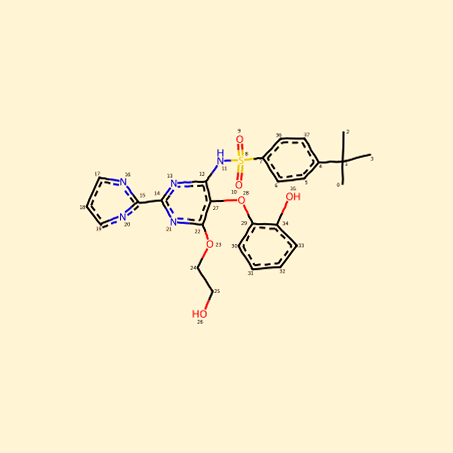 CC(C)(C)c1ccc(S(=O)(=O)Nc2nc(-c3ncccn3)nc(OCCO)c2Oc2ccccc2O)cc1